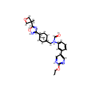 CCOc1ncc(-c2cccc(N(C=O)CC34CCC(c5noc(C6(C)COC6)n5)(CC3)CC4)c2)cn1